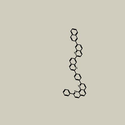 c1ccc(-c2ccc3ccc4ccc(-c5ccc(-c6ccc7ccc(-c8ccc9ccc(-c%10ccc%11ccccc%11c%10)cc9n8)cc7n6)cc5)nc4c3n2)cc1